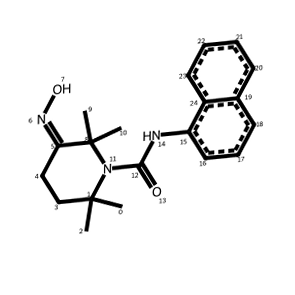 CC1(C)CCC(=NO)C(C)(C)N1C(=O)Nc1cccc2ccccc12